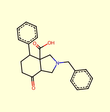 O=C1CCC(c2ccccc2)C2(C(=O)O)CN(Cc3ccccc3)CC12